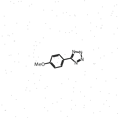 COc1ccc(C2=N[N]N=N2)cc1